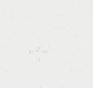 O=C(CCCCCCCCCCI)NC(CCS)C(=O)O